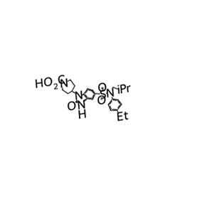 CCc1ccc(N(CC(C)C)S(=O)(=O)c2ccc3c(c2)[nH]c(=O)n3C2CCN(C(=O)O)CC2)cc1